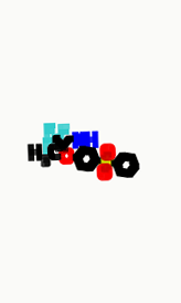 C[C@]1(C(F)(F)F)CNc2cc(S(=O)(=O)c3ccccc3)ccc2O1